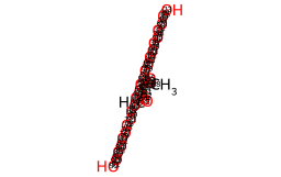 CCOC1(C=O)C=CC(SC2=CCC(C=O)(OCC)C=C2)=CC1.OCCOCCOCCOCCOCCOCCOCCOCCOCCOCCOCCOCCOCCOCCOCCOCCOCCOCCOCCOCCOCCOCCOCCO